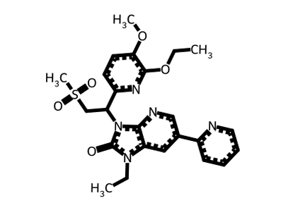 CCOc1nc(C(CS(C)(=O)=O)n2c(=O)n(CC)c3cc(-c4ccccn4)cnc32)ccc1OC